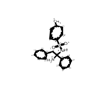 Cc1ccc(S(=O)(=O)NC(N)(Cc2ccccc2)c2ccccc2)cc1